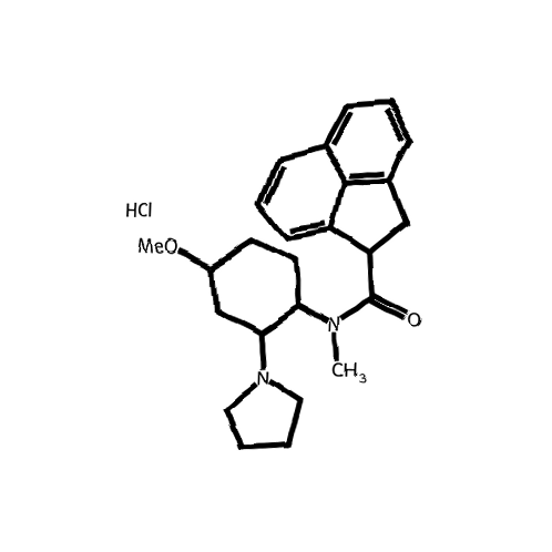 COC1CCC(N(C)C(=O)C2Cc3cccc4cccc2c34)C(N2CCCC2)C1.Cl